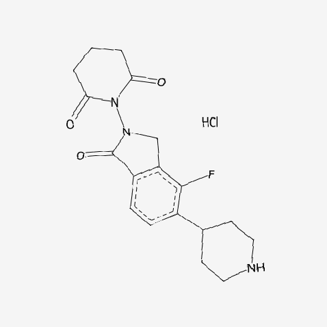 Cl.O=C1c2ccc(C3CCNCC3)c(F)c2CN1N1C(=O)CCCC1=O